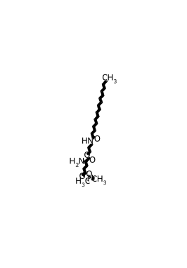 CCCCCCCCCCCCCCCCCC(=O)NCCCOC(=O)[C@@H](N)CCC(=O)ON(C)C